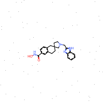 O=C(NO)c1ccc2c(c1)CCC1(CCN(Cc3nc4ccccc4[nH]3)C1)C2